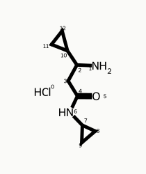 Cl.NC(CC(=O)NC1CC1)C1CC1